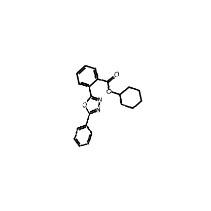 O=C(OC1CCCCC1)c1ccccc1-c1nnc(-c2ccccc2)o1